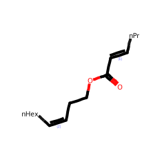 CCC/C=C/C(=O)OCC/C=C\CCCCCC